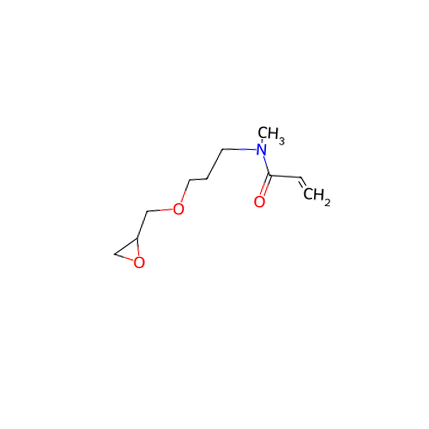 C=CC(=O)N(C)CCCOCC1CO1